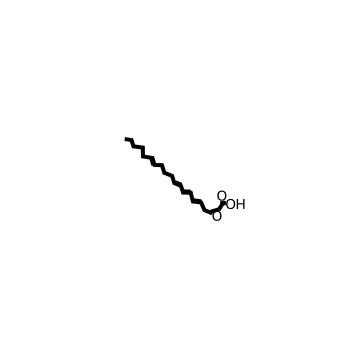 CCCCCC=CCCCC=CC=CC=CCC1OC1C(=O)O